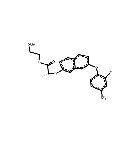 COCCOC(=O)[C@@H](C)Oc1ccc2ccc(Oc3ccc(C(F)(F)F)cc3Cl)cc2c1